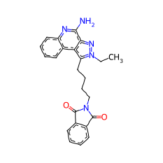 CCn1nc2c(N)nc3ccccc3c2c1CCCCN1C(=O)c2ccccc2C1=O